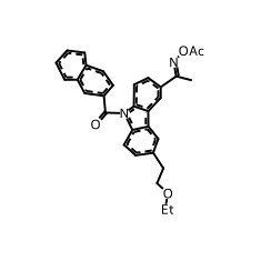 CCOCCc1ccc2c(c1)c1cc(/C(C)=N/OC(C)=O)ccc1n2C(=O)c1ccc2ccccc2c1